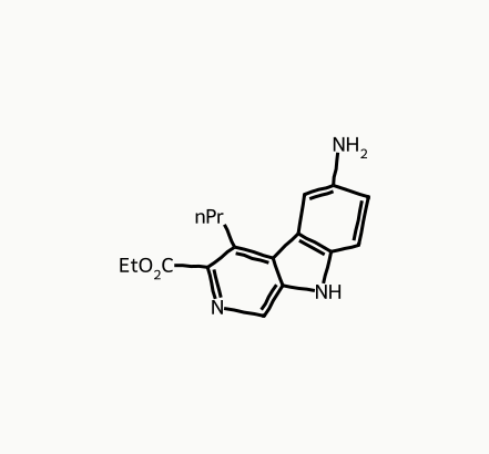 CCCc1c(C(=O)OCC)ncc2[nH]c3ccc(N)cc3c12